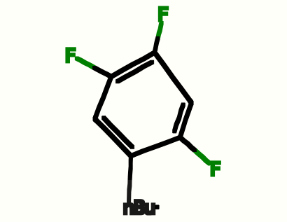 CC[CH][CH]c1cc(F)c(F)cc1F